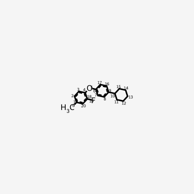 Cc1ccc(Oc2ccc(C3CCCCC3)cc2)c(F)c1